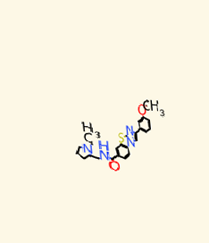 CCN1CCCC1CNC(=O)c1ccc2c(c1)sc1nc(-c3cccc(OC)c3)cn12